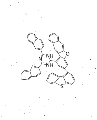 c1ccc2cc(C3=NC(c4ccc5ccccc5c4)NC(c4cc(-c5cccc6sc7ccccc7c56)cc5oc6cc7ccccc7cc6c45)N3)ccc2c1